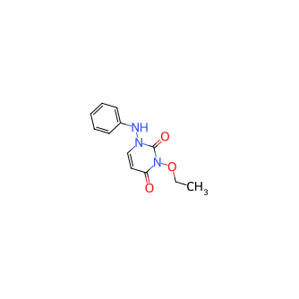 CCOn1c(=O)ccn(Nc2ccccc2)c1=O